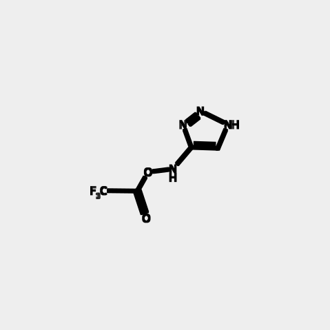 O=C(ONc1c[nH]nn1)C(F)(F)F